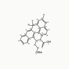 C=C(O)C1C(CCOC)c2c3c(cc4ccccc24)C(C)(C)c2cc(C)nc4cc[n+]1c-3c24